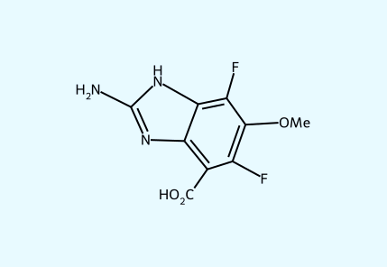 COc1c(F)c(C(=O)O)c2nc(N)[nH]c2c1F